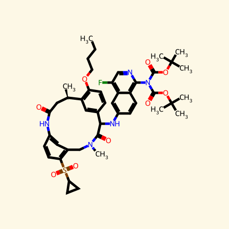 CCCCOc1ccc2cc1[C@H](C)CC(=O)Nc1ccc(S(=O)(=O)C3CC3)c(c1)CN(C)C(=O)C2Nc1ccc2c(N(C(=O)OC(C)(C)C)C(=O)OC(C)(C)C)ncc(F)c2c1